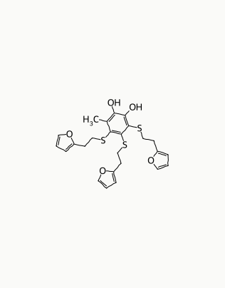 Cc1c(O)c(O)c(SCCc2ccco2)c(SCCc2ccco2)c1SCCc1ccco1